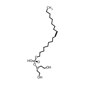 CCCCCCCC/C=C\CCCCCCCCOP(=O)(O)ON(CCO)CCO